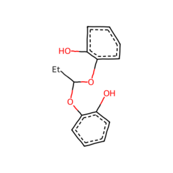 CCC(Oc1ccccc1O)Oc1ccccc1O